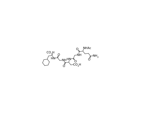 CC(=O)NC(CCC(N)=O)C(=O)NCC(=O)NC(CC(=O)O)C(=O)NCC(=O)NC(CC1CCCCC1)C(=O)O